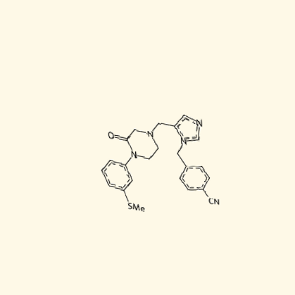 CSc1cccc(N2CCN(Cc3cncn3Cc3ccc(C#N)cc3)CC2=O)c1